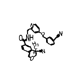 C[C@@]1(C#N)COCc2ccc(C(=O)NCc3cc(OCc4cccc(C#N)c4)ccn3)cc21